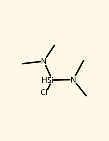 CN(C)[SiH](Cl)N(C)C